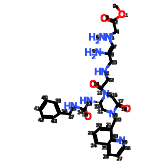 COC(=O)CN(N)/C=C(\N)CNCC(=O)N1CC(=O)N(Cc2cccc3cccnc23)C[C@@H]1NC(=O)NCc1ccccc1